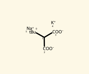 CC(C)(C)C(C(=O)[O-])C(=O)[O-].[K+].[Na+]